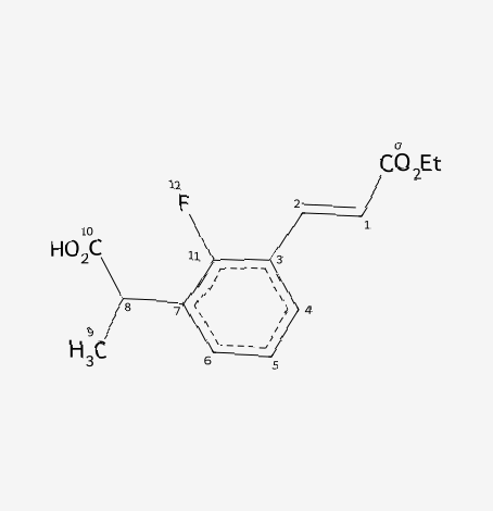 CCOC(=O)C=Cc1cccc(C(C)C(=O)O)c1F